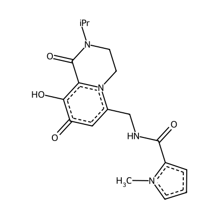 CC(C)N1CCn2c(CNC(=O)c3cccn3C)cc(=O)c(O)c2C1=O